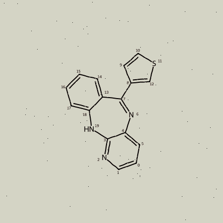 c1cnc2c(c1)N=C(c1ccsc1)c1ccccc1N2